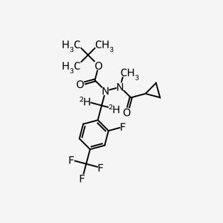 [2H]C([2H])(c1ccc(C(F)(F)F)cc1F)N(C(=O)OC(C)(C)C)N(C)C(=O)C1CC1